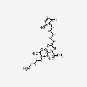 CC(=O)C(CCCCN)NC(=O)C(NC(=O)CCCCCN1C(=O)C=CC1O)C(C)C